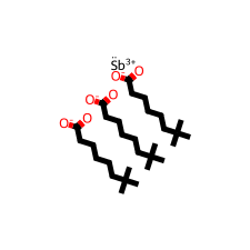 CC(C)(C)CCCCCC(=O)[O-].CC(C)(C)CCCCCC(=O)[O-].CC(C)(C)CCCCCC(=O)[O-].[Sb+3]